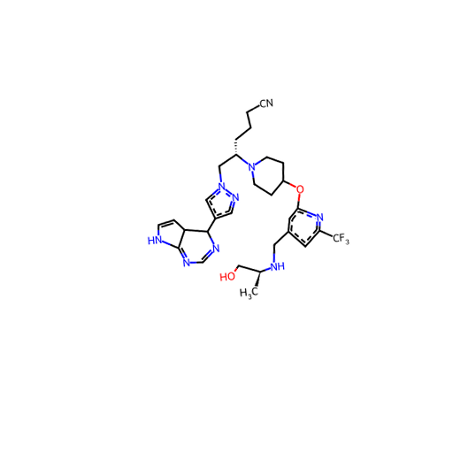 C[C@@H](CO)NCc1cc(OC2CCN([C@@H](CCCC#N)Cn3cc(C4N=CN=C5NC=CC54)cn3)CC2)nc(C(F)(F)F)c1